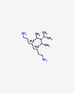 CC(C)N(C(C)C)C(C)C.NCCCCCCCCN